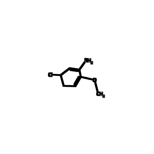 COC1=CCC(Cl)C=C1N